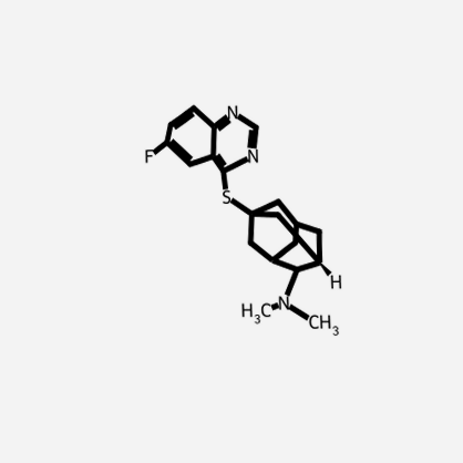 CN(C)C1C2CC3C[C@H]1CC(Sc1ncnc4ccc(F)cc14)(C3)C2